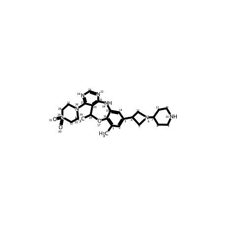 Cc1cc(C2CN(C3CCNCC3)C2)cc2c1OC(C)c1c(ncnc1N1CCS(=O)(=O)CC1)N2